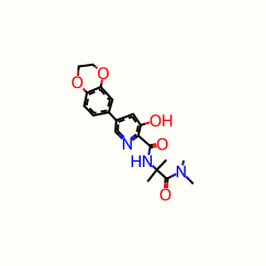 CN(C)C(=O)C(C)(C)NC(=O)c1ncc(-c2ccc3c(c2)OCCO3)cc1O